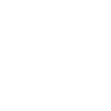 CN(C(=O)C1(CC(=O)OC(C)(C)C)Cc2ccccc2C1)c1nc(-c2cnn(C)c2)cs1